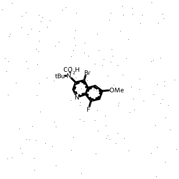 COc1cc(F)c2ncc(N(C(=O)O)C(C)(C)C)c(Br)c2c1